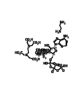 CC(=O)O.CC(=O)O.CC(=O)O.CC(=O)O.NCCN.Nc1ncnc2c1ncn2[C@@H]1O[C@H](COP(=O)(O)OP(=O)(O)OP(=O)(O)O)[C@@H](O)[C@H]1O.O=C(O)CN(CCN(CC(=O)O)CC(=O)O)CC(=O)O